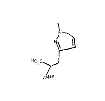 COC(Cc1ccn(C)n1)C(=O)O